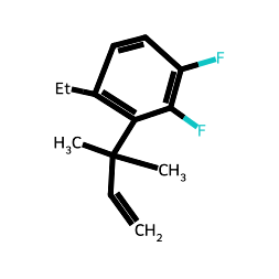 C=CC(C)(C)c1c(CC)ccc(F)c1F